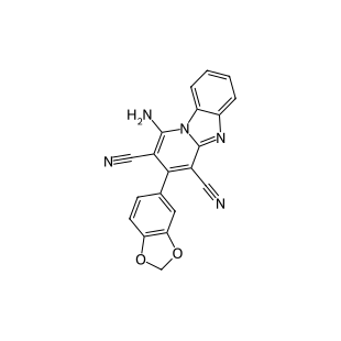 N#Cc1c(-c2ccc3c(c2)OCO3)c(C#N)c2nc3ccccc3n2c1N